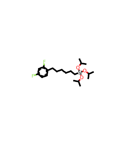 CC(C)O[Si](CCCCCCc1ccc(F)cc1F)(OC(C)C)OC(C)C